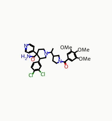 COc1cc(C(=O)N2CCC(C(C)N3CCC(C(N)=O)(c4ccncc4)C(c4ccc(Cl)c(Cl)c4)C3)C2)cc(OC)c1OC